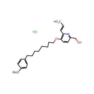 COc1ccc(CCCCCCCCOc2ccc(CO)nc2C=CC(=O)O)cc1.Cl